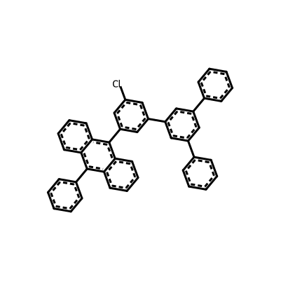 Clc1cc(-c2cc(-c3ccccc3)cc(-c3ccccc3)c2)cc(-c2c3ccccc3c(-c3ccccc3)c3ccccc23)c1